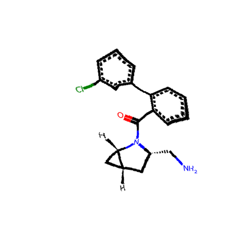 NC[C@@H]1C[C@@H]2C[C@@H]2N1C(=O)c1ccccc1-c1cccc(Cl)c1